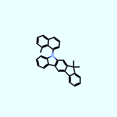 Cc1cccc2cccc(-n3c4ccccc4c4cc5c(cc43)C(C)(C)c3ccccc3-5)c12